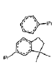 CC(C)c1ccc2c(c1)C(C)(C)CC2.CC(C)c1ccccc1